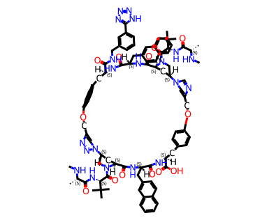 CN[C@@H](C)C(=O)N[C@H](C(=O)N1C[C@@H]2C[C@H]1C(=O)N[C@@H](Cc1ccc3ccccc3c1)C(=O)N[C@H](C(=O)O)Cc1ccc(cc1)OCc1cn(cn1)[C@H]1C[C@@H](C(=O)N[C@@H](Cc3ccc4ccccc4c3)C(=O)N[C@H](C(=O)NCc3cccc(-c4nnn[nH]4)c3)Cc3ccc(cc3)OCc3cn2nn3)N(C(=O)[C@@H](NC(=O)[C@H](C)NC)C(C)(C)C)C1)C(C)(C)C